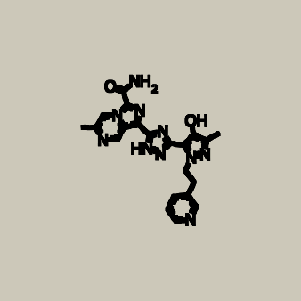 Cc1cn2c(C(N)=O)nc(-c3nc(-c4c(O)c(C)nn4CCc4cccnc4)n[nH]3)c2cn1